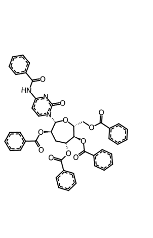 O=C(Nc1ccn([C@@H]2O[C@H](COC(=O)c3ccccc3)[C@@H](OC(=O)c3ccccc3)[C@H](OC(=O)c3ccccc3)C[C@H]2OC(=O)c2ccccc2)c(=O)n1)c1ccccc1